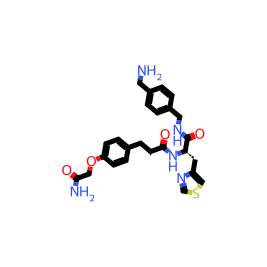 NCc1ccc(CNC(=O)[C@H](Cc2cscn2)NC(=O)[CH]Cc2ccc(OCC(N)=O)cc2)cc1